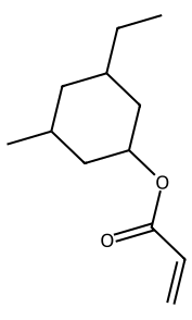 C=CC(=O)OC1CC(C)CC(CC)C1